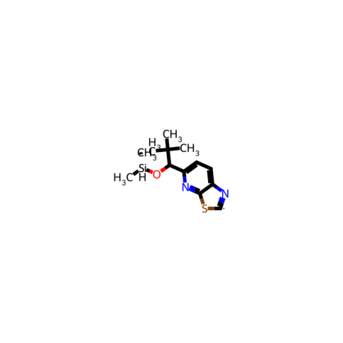 C[SiH](C)OC(c1ccc2n[c]sc2n1)C(C)(C)C